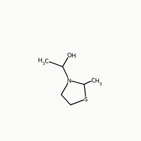 CC(O)N1CCSC1C